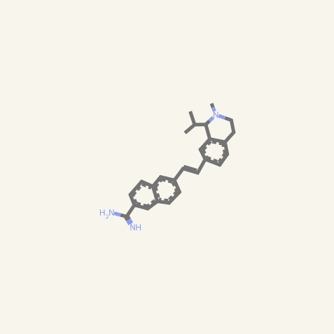 CC(C)C1c2cc(C=Cc3ccc4cc(C(=N)N)ccc4c3)ccc2CCN1C